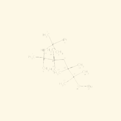 CC(C)C(C)(C)BC(C)(C)C(C)(C)CC(C)(C)C(C)(C)OC(C)(C)C